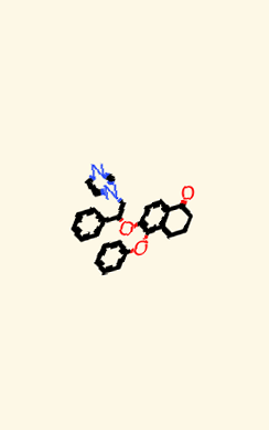 O=C1CCCc2c1ccc(OC(Cn1ccnc1)c1ccccc1)c2Oc1ccccc1